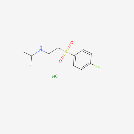 CC(C)NCCS(=O)(=O)c1ccc(F)cc1.Cl